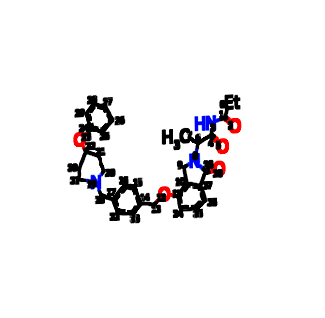 CCC(=O)NC(=O)C(C)N1Cc2c(OCc3ccc(CN4CCC(Oc5ccccc5)CC4)cc3)cccc2C1=O